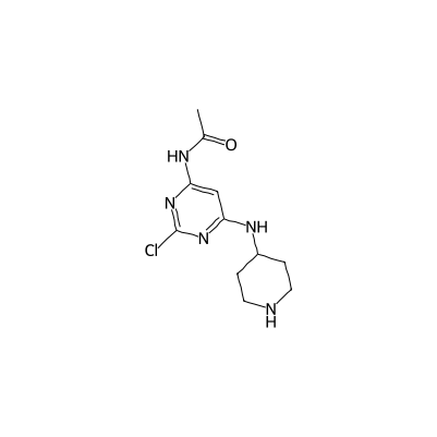 CC(=O)Nc1cc(NC2CCNCC2)nc(Cl)n1